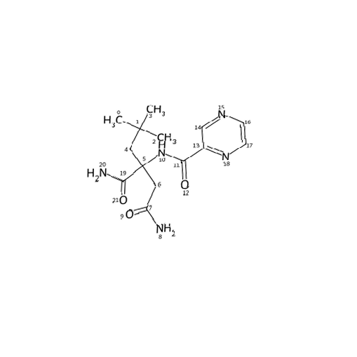 CC(C)(C)CC(CC(N)=O)(NC(=O)c1cnccn1)C(N)=O